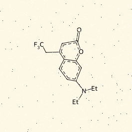 CCN(CC)c1ccc2c(CC(F)(F)F)cc(=O)oc2c1